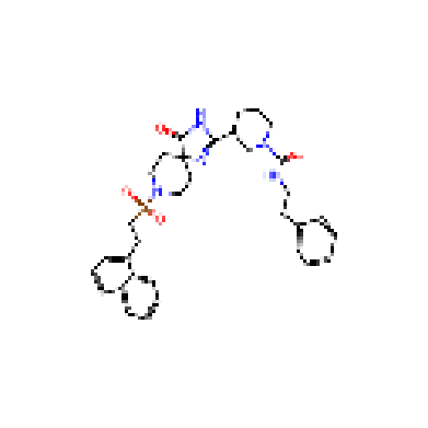 O=C(NCCc1ccccc1)N1CCCC(C2=NC3(CCN(S(=O)(=O)CCc4cccc5ccccc45)CC3)C(=O)N2)C1